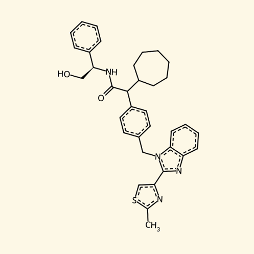 Cc1nc(-c2nc3ccccc3n2Cc2ccc(C(C(=O)N[C@@H](CO)c3ccccc3)C3CCCCCC3)cc2)cs1